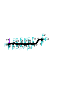 FC(F)(F)CCC(F)(F)C(F)(F)C(F)(F)C(F)(F)C(F)(F)C(F)(F)C(F)(F)I